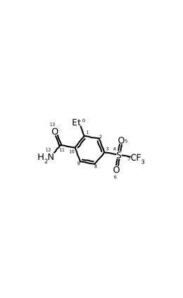 CCc1cc(S(=O)(=O)C(F)(F)F)ccc1C(N)=O